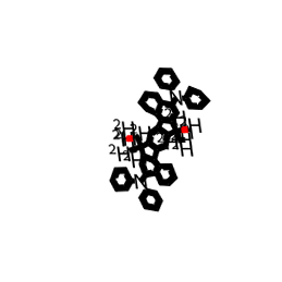 [2H]C([2H])([2H])C1(C([2H])([2H])[2H])c2cc3c(cc2-c2c1cc(N(c1ccccc1)c1ccccc1)c1ccccc21)C(C([2H])([2H])[2H])(C([2H])([2H])[2H])c1cc(N(c2ccccc2)c2ccccc2)c2ccccc2c1-3